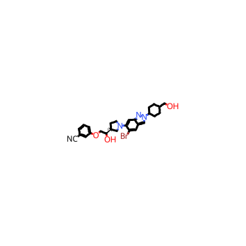 N#Cc1cccc(OCC(O)[C@H]2CCN(c3cc4nn(C5CCC(CO)CC5)cc4cc3Br)C2)c1